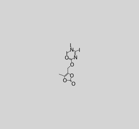 Cc1oc(=O)oc1COC(=O)/N=C(/I)N(I)I